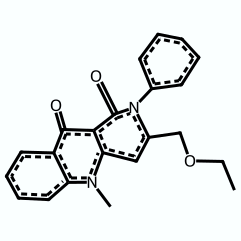 CCOCc1cc2c(c(=O)c3ccccc3n2C)c(=O)n1-c1ccccc1